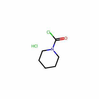 Cl.O=C(Cl)N1CC[CH]CC1